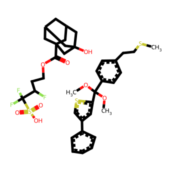 COC(OC)(c1ccc(CCSC)cc1)c1cc(-c2ccccc2)cs1.O=C(OCCC(F)C(F)(F)S(=O)(=O)O)C12CC3CC(CC(O)(C3)C1)C2